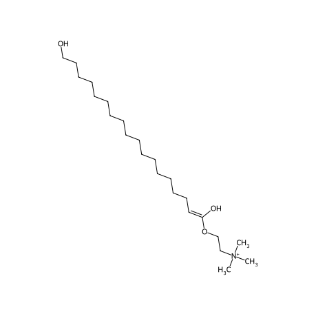 C[N+](C)(C)CCOC(O)=CCCCCCCCCCCCCCCCCO